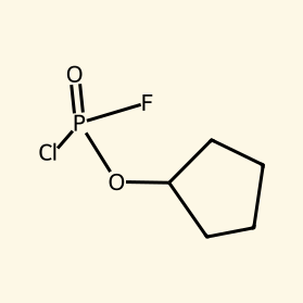 O=P(F)(Cl)OC1CCCC1